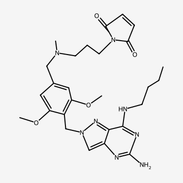 CCCCNc1nc(N)nc2cn(Cc3c(OC)cc(CN(C)CCCN4C(=O)C=CC4=O)cc3OC)nc12